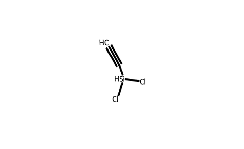 C#C[SiH](Cl)Cl